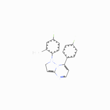 Cc1cc(F)ccc1N1CC=C2N=CC=C(c3ccc(F)cc3)N21